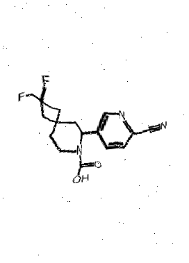 N#Cc1ccc(C2CC3(CCN2C(=O)O)CC(F)(F)C3)cn1